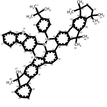 CC(C)(C)c1ccc(N2B3c4cc5oc6ccccc6c5cc4-n4c5cc6c(cc5c5ccc(c3c54)-c3cc4c(cc32)-c2cc3c(cc2C4(C)C)C(C)(C)CCC3(C)C)-c2ccccc2C6(C)C)cc1